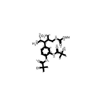 CCC(C)(C)C(=O)Oc1ccc(C(C(C)COC(=O)OC)[C@H](N)C(=O)O)cc1OC(=O)C(C)(C)CC